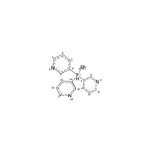 [Rh][PH](c1cccnc1)(c1cccnc1)c1cccnc1